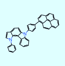 c1ccc(-n2ccc3ccc4c(c5ccccc5n4-c4ccc(-c5ccc6ccc7cccc8ccc5c6c78)cc4)c32)cc1